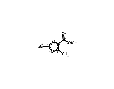 COC(=O)c1sc(C(C)(C)C)nc1C